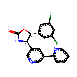 O=C1N[C@H](c2cncc(-c3ccccn3)c2)[C@@H](c2cc(F)cc(F)c2)O1